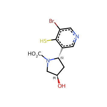 O=C(O)N1C[C@H](O)C[C@H]1c1cncc(Br)c1S